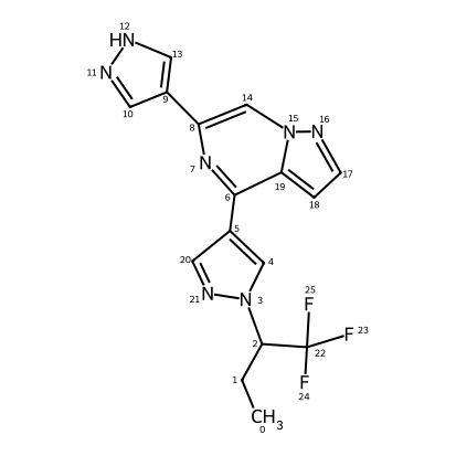 CCC(n1cc(-c2nc(-c3cn[nH]c3)cn3nccc23)cn1)C(F)(F)F